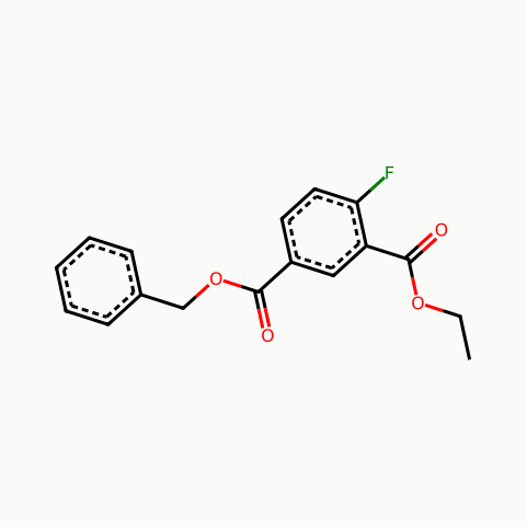 CCOC(=O)c1cc(C(=O)OCc2ccccc2)ccc1F